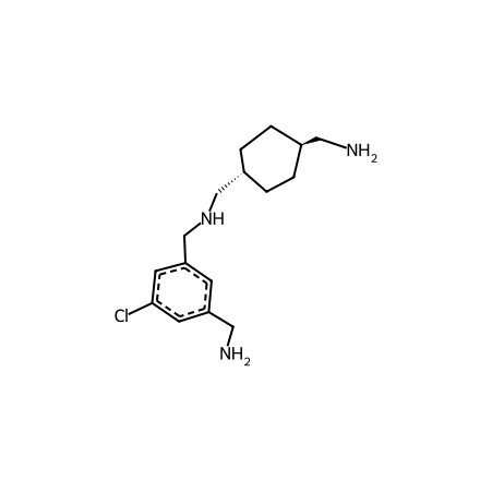 NCc1cc(Cl)cc(CNC[C@H]2CC[C@H](CN)CC2)c1